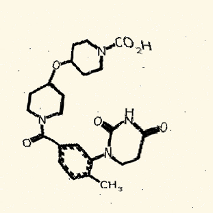 Cc1ccc(C(=O)N2CCC(OC3CCN(C(=O)O)CC3)CC2)cc1N1CCC(=O)NC1=O